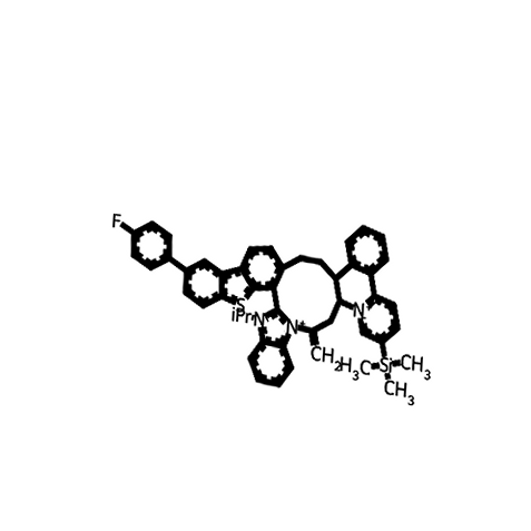 C=C1CC2C(CCc3ccc4c(sc5ccc(-c6ccc(F)cc6)cc54)c3-c3n(C(C)C)c4ccccc4[n+]31)c1ccccc1-c1ccc([Si](C)(C)C)c[n+]12